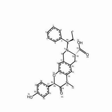 CC[C@H](c1ccccc1)N1Cc2cc3c(cc2C[C@H]1C(=O)O)N(C)C(=O)[C@@H](c1ccc(O)cc1)O3